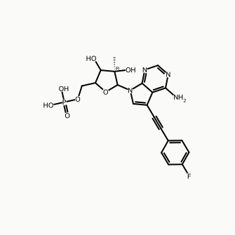 C[C@@]1(O)C(O)C(COP(=O)(O)O)OC1n1cc(C#Cc2ccc(F)cc2)c2c(N)ncnc21